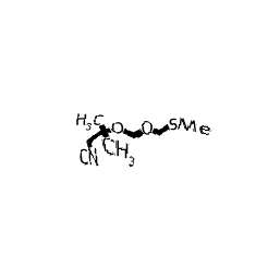 CSCOCOC(C)(C)CC#N